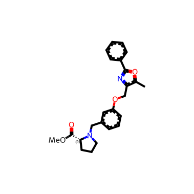 COC(=O)[C@H]1CCCN1Cc1cccc(OCc2nc(-c3ccccc3)oc2C)c1